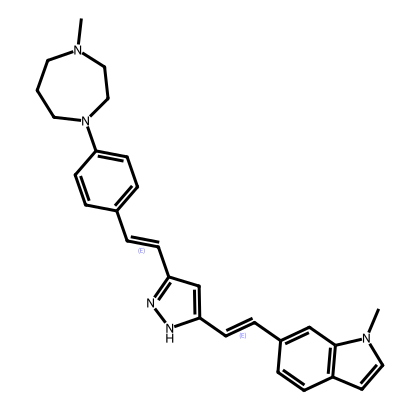 CN1CCCN(c2ccc(/C=C/c3cc(/C=C/c4ccc5ccn(C)c5c4)[nH]n3)cc2)CC1